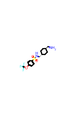 NC[C@H]1CC[C@H](CNS(=O)(=O)c2ccc(OC(F)(F)F)cc2)CC1